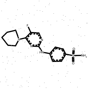 NS(=O)(=O)c1ccc(Nc2ncc(F)c(N3CCCCC3)n2)cc1